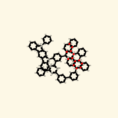 c1ccc(-c2cc(-c3ccc(-n4c5ccccc5c5cc6c7ccccc7n(-c7ccccc7)c6cc54)c(-c4nc(-c5ccccc5)nc(-c5cccc(-c6cccc(N7c8ccccc8B8c9ccccc9N(c9ccccc9)c9cccc7c98)c6)c5)n4)c3)nc(-c3ccccc3)n2)cc1